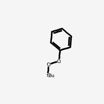 CC(C)(C)OOc1ccccc1